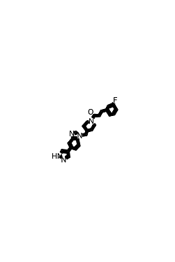 O=C(CCc1cccc(F)c1)N1CCC(Cn2cnc3cc(-c4cn[nH]c4)ccc32)CC1